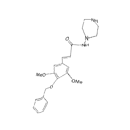 COc1cc(C=CC(=O)NN2CCNCC2)cc(OC)c1OCc1ccccc1